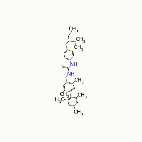 CCCC(Cc1ccc(NC(=S)NCc2cc(C)c(-c3c(C)cc(C)cc3C)cc2C)cc1)C(C)C